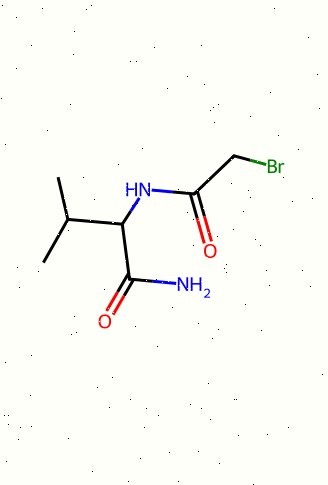 CC(C)C(NC(=O)CBr)C(N)=O